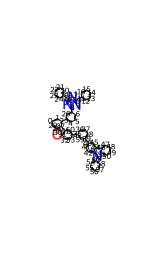 C1=CC(c2cccc(-c3nc(-c4ccccc4)nc(-c4ccccc4)n3)c2)C2C(=C1)Oc1ccc(-c3cccc(-c4ccc5c(c4)c4ccccc4n5-c4ccccc4)c3)cc12